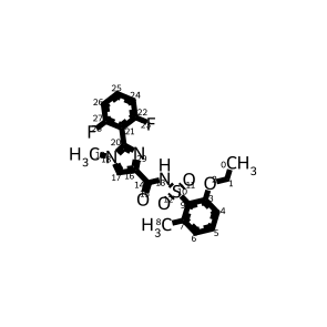 CCOc1cccc(C)c1S(=O)(=O)NC(=O)c1cn(C)c(-c2c(F)cccc2F)n1